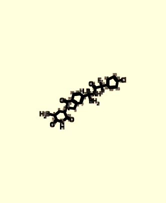 BC1CC(N2Cc3cc(C(B)(B)NC(=O)C(F)(F)c4ccc(Cl)cc4)ccc3C2=O)C(=O)NC1=O